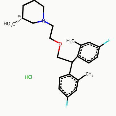 Cc1cc(F)ccc1C(COCCN1CCC[C@@H](C(=O)O)C1)c1ccc(F)cc1C.Cl